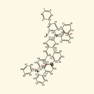 Fc1cc(-c2ccccc2)cc(-c2ccccc2)c1N(c1ccccc1)c1ccc2cc3c4c(cccc4c2c1)Oc1cc(N(c2ccccc2)c2ccccc2-c2ccccc2)ccc1-3